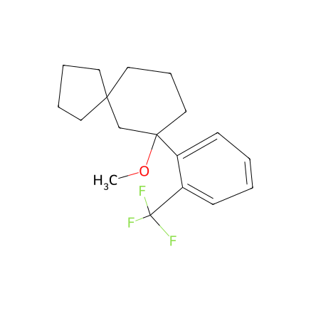 COC1(c2ccccc2C(F)(F)F)CCCC2(CCCC2)C1